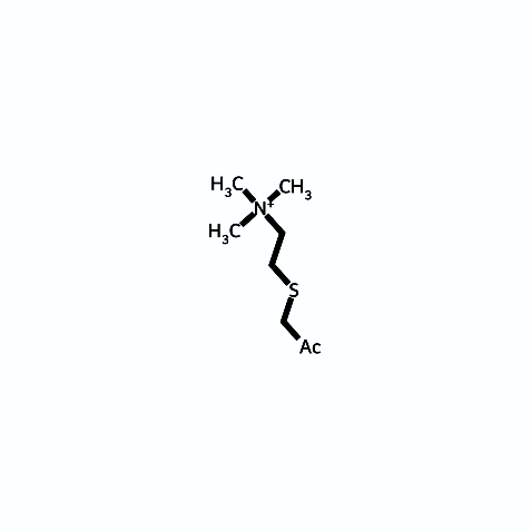 CC(=O)CSCC[N+](C)(C)C